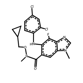 CN(OCC1CC1)C(=O)c1cc2c(ncn2C)c(F)c1Nc1ccc(Cl)cc1Cl